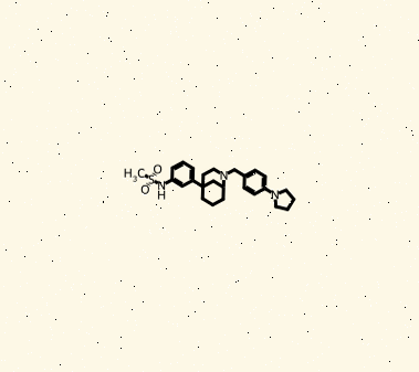 CS(=O)(=O)Nc1cccc(C23CCCC(C2)N(Cc2ccc(N4CCCC4)cc2)CC3)c1